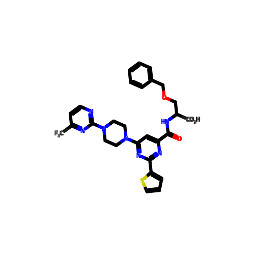 O=C(NC(COCc1ccccc1)C(=O)O)c1cc(N2CCN(c3nccc(C(F)(F)F)n3)CC2)nc(-c2cccs2)n1